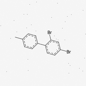 Cc1ccc(-c2ccc(Br)cc2Br)cc1